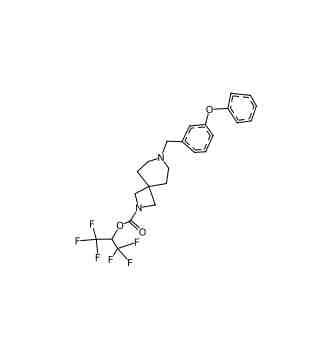 O=C(OC(C(F)(F)F)C(F)(F)F)N1CC2(CCN(Cc3cccc(Oc4ccccc4)c3)CC2)C1